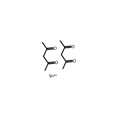 CC(=O)CC(C)=O.CC(=O)CC(C)=O.[Sn+4]